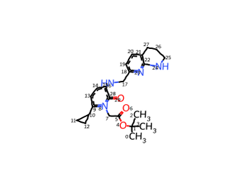 CC(C)(C)OC(=O)Cn1c(C2CC2)ccc(NCc2ccc3c(n2)NCCC3)c1=O